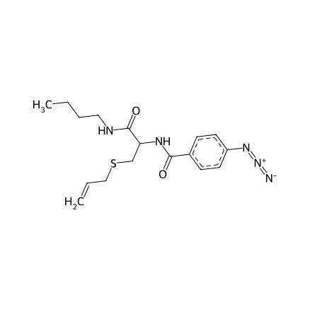 C=CCSCC(NC(=O)c1ccc(N=[N+]=[N-])cc1)C(=O)NCCCC